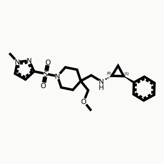 COCC1(CN[C@@H]2C[C@H]2c2ccccc2)CCN(S(=O)(=O)c2ccn(C)n2)CC1